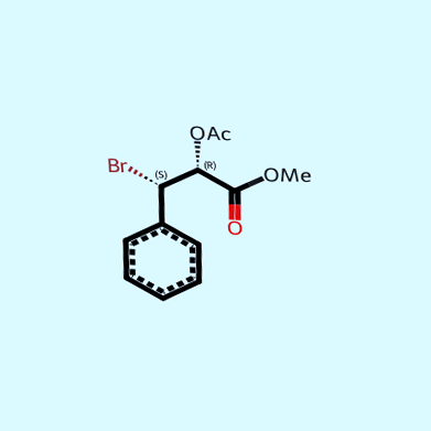 COC(=O)[C@@H](OC(C)=O)[C@@H](Br)c1ccccc1